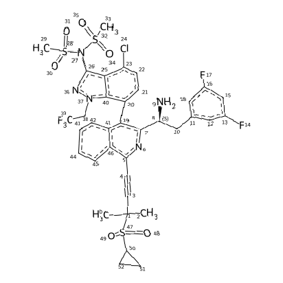 CC(C)(C#Cc1nc([C@@H](N)Cc2cc(F)cc(F)c2)c(-c2ccc(Cl)c3c(N(S(C)(=O)=O)S(C)(=O)=O)nn(CC(F)(F)F)c23)c2ccccc12)S(=O)(=O)C1CC1